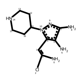 N/C(Cl)=C\c1c(N)c(N)nn1C1CCNCC1